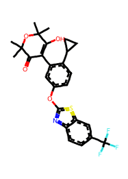 CC1(C)OC(C)(C)C(O)=C(c2cc(Oc3nc4ccc(C(F)(F)F)cc4s3)ccc2C2CC2)C1=O